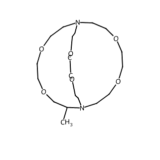 CC1COCCOCCN2CCOCCOCCN1CCOCCOCC2